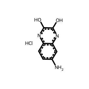 Cl.Nc1ccc2nc(O)c(O)nc2c1